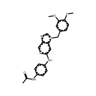 COc1ccc(Cn2cnc3cnc(Nc4ccc(NC(C)=O)cc4)cc32)cc1OC